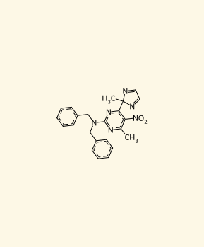 Cc1nc(N(Cc2ccccc2)Cc2ccccc2)nc(C2(C)N=CC=N2)c1[N+](=O)[O-]